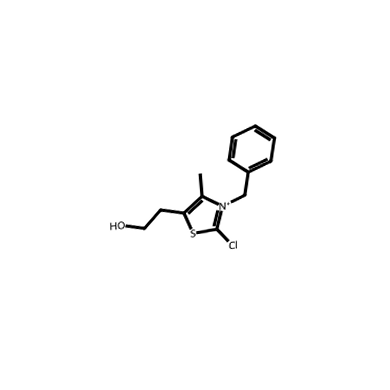 Cc1c(CCO)sc(Cl)[n+]1Cc1ccccc1